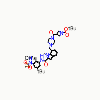 COc1c(NC(=O)c2cc3cccc(CN4CCN(C(=O)C5CN(C(=O)OC(C)(C)C)C5)CC4)c3n2C)cc(C(C)(C)C)cc1NS(C)(=O)=O